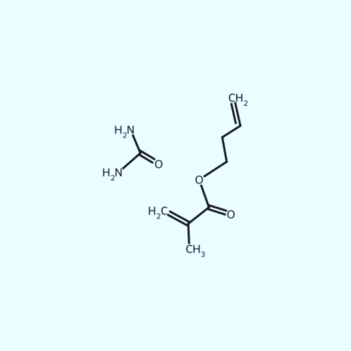 C=CCCOC(=O)C(=C)C.NC(N)=O